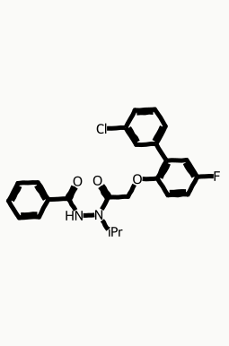 CC(C)N(NC(=O)c1ccccc1)C(=O)COc1ccc(F)cc1-c1cccc(Cl)c1